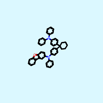 c1ccc(N(c2ccccc2)c2ccc(C3(c4ccc(N(c5ccccc5)c5ccc6oc7ccccc7c6c5)cc4)CCCCC3)cc2)cc1